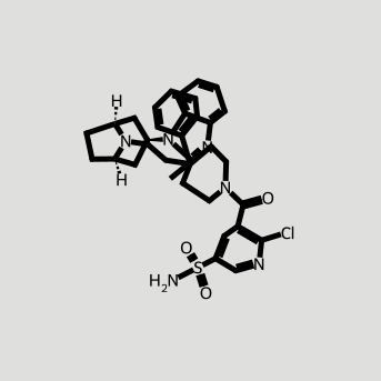 Cc1nc2ccccc2n1[C@H]1C[C@H]2CC[C@@H](C1)N2CCC1(c2ccccc2)CCN(C(=O)c2cc(S(N)(=O)=O)cnc2Cl)CC1